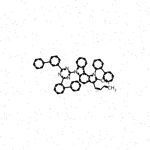 C=C/C=C\c1c(C)n(-c2ccccc2-c2ccccc2)c2c1ccc1c2c2ccccc2n1-c1nc(-c2cccc(-c3ccccc3)c2)nc(-c2ccccc2-c2ccccc2)n1